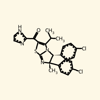 CC(C)C1=C(C(=O)c2ncc[nH]2)SC2=N[C@@](C)(c3ccc(Cl)cc3)[C@@H](c3ccc(Cl)cc3)N21